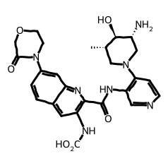 C[C@H]1CN(c2ccncc2NC(=O)c2nc3cc(N4CCOCC4=O)ccc3cc2NC(=O)O)C[C@@H](N)[C@@H]1O